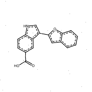 O=C(O)c1ccc2[nH]cc(-c3cc4ccccc4o3)c2c1